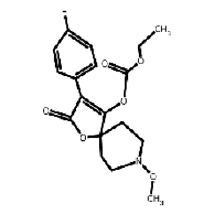 CCOC(=O)OC1=C(c2ccc(F)cc2)C(=O)OC12CCN(OC)CC2